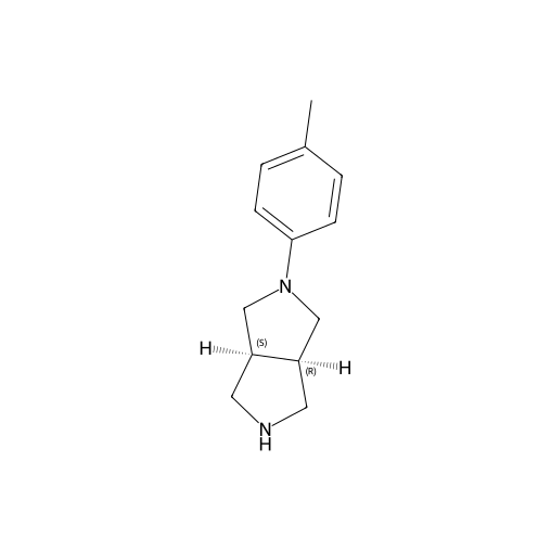 Cc1ccc(N2C[C@H]3CNC[C@H]3C2)cc1